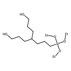 CCO[Si](CCCN(CCCO)CCCO)(OCC)OCC